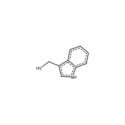 SCc1c[nH]c2ccccc12